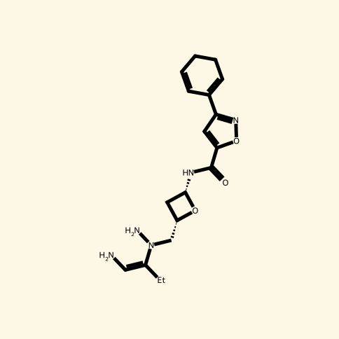 CC/C(=C/N)N(N)C[C@@H]1C[C@H](NC(=O)c2cc(C3=CCCC=C3)no2)O1